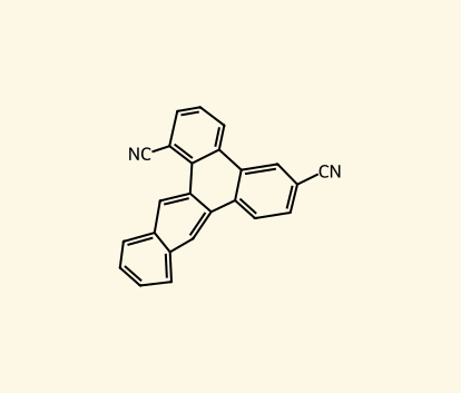 N#Cc1ccc2c(c1)c1cccc(C#N)c1c1cc3ccccc3cc21